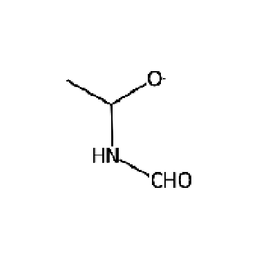 CC([O])NC=O